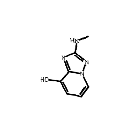 CNc1nc2c(O)cccn2n1